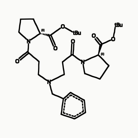 CC(C)(C)OC(=O)[C@H]1CCCN1C(=O)CCN(CCC(=O)N1CCC[C@@H]1C(=O)OC(C)(C)C)Cc1ccccc1